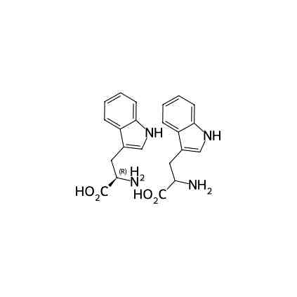 NC(Cc1c[nH]c2ccccc12)C(=O)O.N[C@H](Cc1c[nH]c2ccccc12)C(=O)O